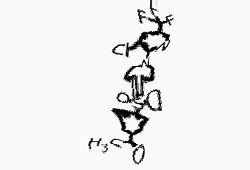 CC(=O)c1ccc(S(=O)(=O)N2CCN(c3ncc(C(F)(F)F)cc3Cl)CC2)cc1